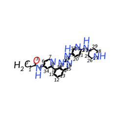 C=CC(=O)Nc1ccnc(-c2cccc3cnc(Nc4ccc(NC5CCNCC5)nc4)nc23)c1